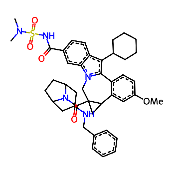 COc1ccc2c(c1)C1CC1(C(=O)N1C3CCC1CC(NCc1ccccc1)C3)Cn1c-2c(C2CCCCC2)c2ccc(C(=O)NS(=O)(=O)N(C)C)cc21